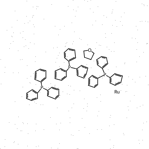 C1CCOC1.[Ru].c1ccc(P(c2ccccc2)c2ccccc2)cc1.c1ccc(P(c2ccccc2)c2ccccc2)cc1.c1ccc(P(c2ccccc2)c2ccccc2)cc1